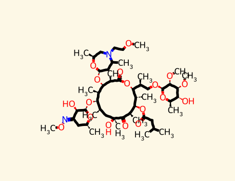 COCCN1C[C@H](C)O[C@@H](O[C@H]2[C@H](C)[C@@H](O[C@@H]3O[C@H](C)C/C(=N\OC)[C@H]3O)[C@@H](C)C[C@](C)(O)C(=O)[C@H](C)[C@H](OC(=O)CC(C)C)[C@@H](C)[C@@H]([C@@H](C)CO[C@@H]3O[C@H](C)[C@@H](O)[C@@H](OC)[C@H]3OC)OC(=O)[C@@H]2C)CC1C